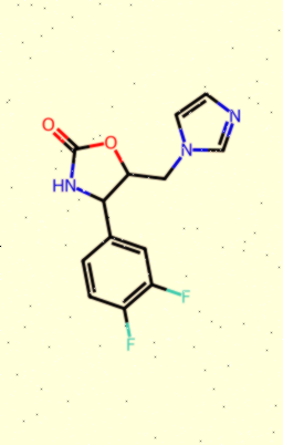 O=C1NC(c2ccc(F)c(F)c2)C(Cn2ccnc2)O1